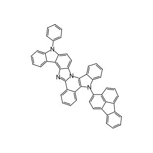 c1ccc(-n2c3ccccc3c3c4nc5c6ccccc6c6c(c7ccccc7n6-c6ccc7c8c(cccc68)-c6ccccc6-7)n5c4ccc32)cc1